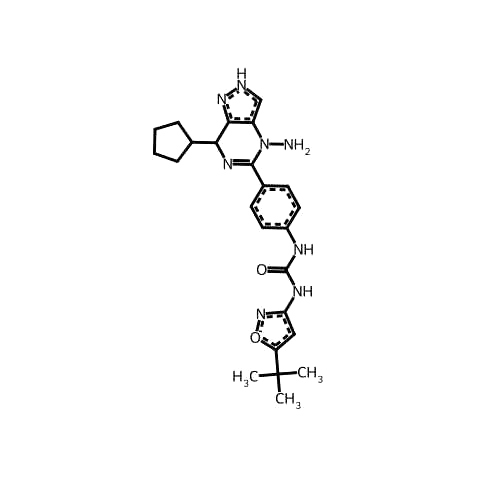 CC(C)(C)c1cc(NC(=O)Nc2ccc(C3=NC(C4CCCC4)c4n[nH]cc4N3N)cc2)no1